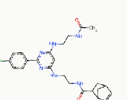 CC(=O)NCCNc1cc(NCCNC(=O)C2CC3C=CC2C3)nc(-c2ccc(Cl)cc2)n1